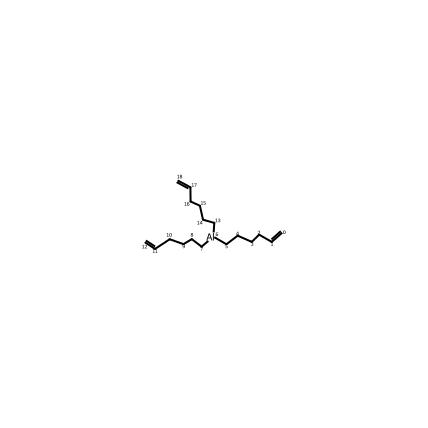 C=CCCC[CH2][Al]([CH2]CCCC=C)[CH2]CCCC=C